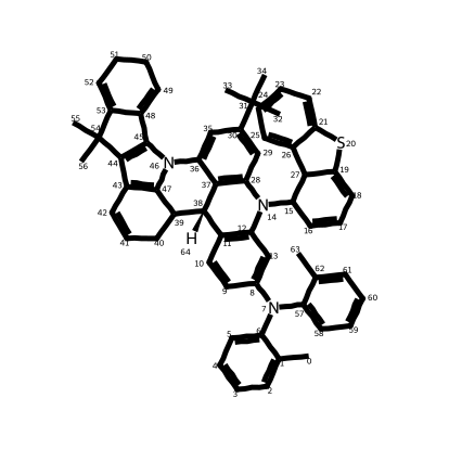 Cc1ccccc1N(c1ccc2c(c1)N(C1C=CC=C3Sc4ccccc4C31)c1cc(C(C)(C)C)cc3c1[C@H]2C1CC=Cc2c4c(n-3c21)C1=CCCC=C1C4(C)C)c1ccccc1C